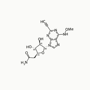 C#Cc1nc(NOC)c2ncn([C@@H]3O[C@@H](CC(N)=O)[C@H](O)[C@H]3O)c2n1